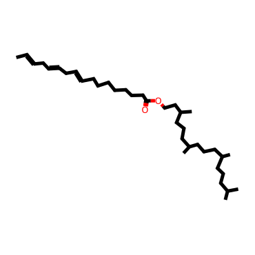 C/C=C/C/C=C/C/C=C/CCCCCCCC(=O)OCCC(C)CCCC(C)CCCC(C)CCCC(C)C